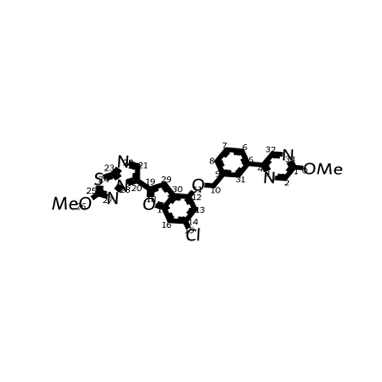 COc1cnc(-c2cccc(COc3cc(Cl)cc4oc(-c5cnc6sc(OC)nn56)cc34)c2)cn1